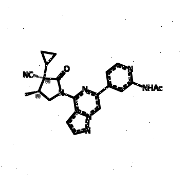 CC(=O)Nc1cc(-c2cn3nccc3c(N3C[C@@H](C)[C@@](C#N)(C4CC4)C3=O)n2)ccn1